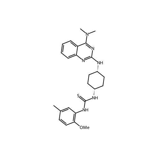 COc1ccc(C)cc1NC(=S)N[C@H]1CC[C@@H](Nc2nc(N(C)C)c3ccccc3n2)CC1